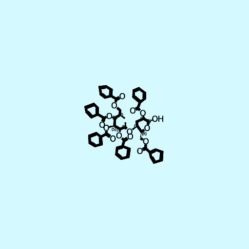 C[C@H](COC(=O)c1ccccc1)[C@H](OC(=O)c1ccccc1)[C@H](OC(=O)c1ccccc1)[C@@H](OC(=O)c1ccccc1)[C@@H](C)O[C@H]1C[C@@H](OC(=O)c2ccccc2)[C@H](O)O[C@@H]1COC(=O)c1ccccc1